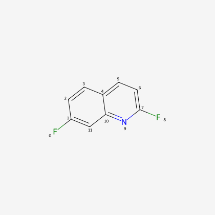 Fc1ccc2ccc(F)nc2c1